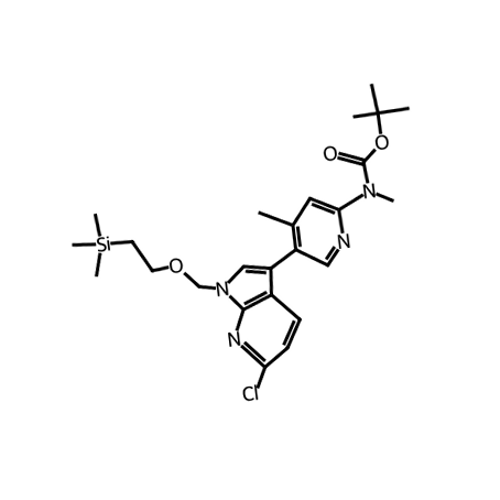 Cc1cc(N(C)C(=O)OC(C)(C)C)ncc1-c1cn(COCC[Si](C)(C)C)c2nc(Cl)ccc12